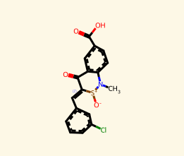 CN1c2ccc(C(=O)O)cc2C(=O)/C(=C/c2cccc(Cl)c2)[S+]1[O-]